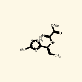 C/C=C(\N/C(=N\N)C(=O)OC)c1nc(C(C)(C)C)ns1